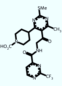 CSc1nc(C)c(C(=O)CNC(=O)c2ccnc(C(F)(F)F)n2)c(C2CCN(C(=O)O)CC2)n1